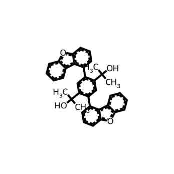 CC(C)(O)c1cc(-c2cccc3oc4ccccc4c23)c(C(C)(C)O)cc1-c1cccc2oc3ccccc3c12